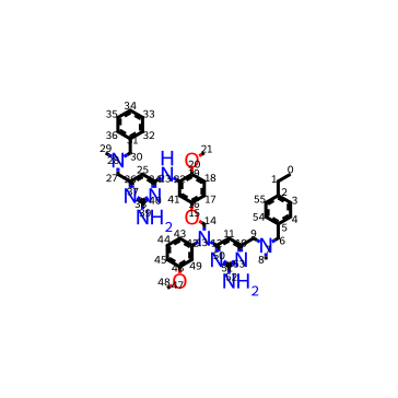 CCc1ccc(CN(C)Cc2cc(N(COc3ccc(OC)c(Nc4cc(CN(C)Cc5ccccc5)nc(N)n4)c3)c3cccc(OC)c3)nc(N)n2)cc1